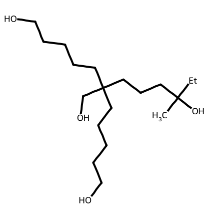 CCC(C)(O)CCCC(CO)(CCCCCO)CCCCCO